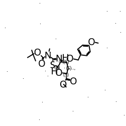 COC(=O)[C@H]1O[C@@H]2SC(N(C)C(=O)OC(C)(C)C)=N[C@@H]2[C@@H](OCc2ccc(OC)cc2)[C@@H]1C